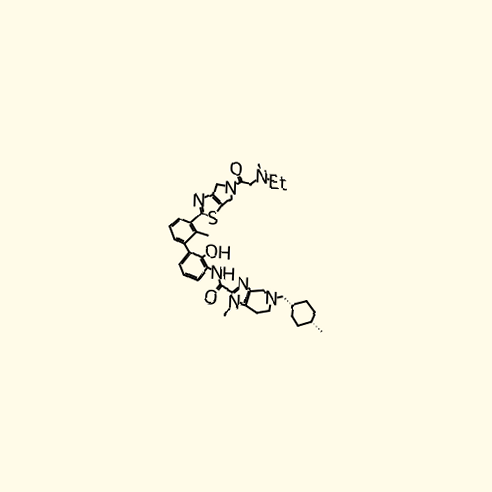 CCN(C)CC(=O)N1Cc2nc(-c3cccc(-c4cccc(NC(=O)c5nc6c(n5C)CCN(C[C@H]5CC[C@@H](C)CC5)C6)c4O)c3C)sc2C1